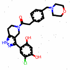 O=C(Cc1ccc(CN2CCOCC2)cc1)N1CCc2[nH]nc(-c3cc(Cl)c(O)cc3O)c2C1